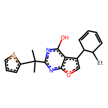 CCC1C=CC=CC1c1coc2nc(C(C)(C)c3cccs3)nc(O)c12